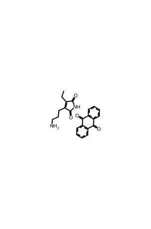 CCC1=C(CCCN)C(=O)NC1=O.O=C1c2ccccc2C(=O)c2ccccc21